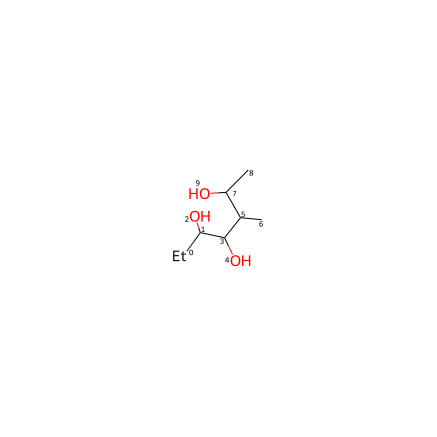 CCC(O)C(O)C(C)C(C)O